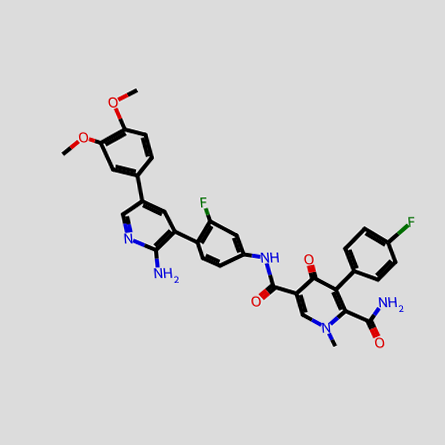 COc1ccc(-c2cnc(N)c(-c3ccc(NC(=O)c4cn(C)c(C(N)=O)c(-c5ccc(F)cc5)c4=O)cc3F)c2)cc1OC